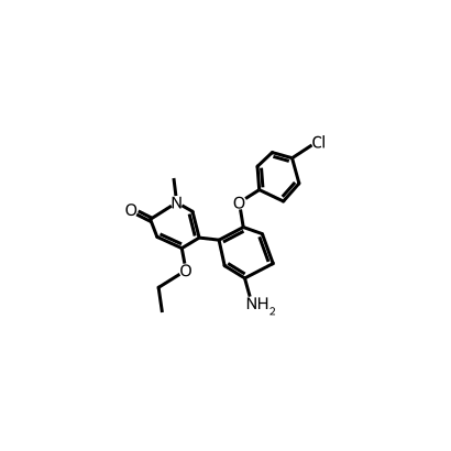 CCOc1cc(=O)n(C)cc1-c1cc(N)ccc1Oc1ccc(Cl)cc1